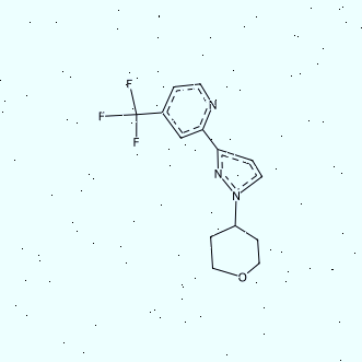 FC(F)(F)c1ccnc(-c2ccn(C3CCOCC3)n2)c1